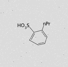 C[CH]Cc1ccccc1S(=O)(=O)O